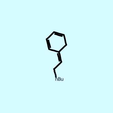 CCCCCC=C1C=CC=CC1